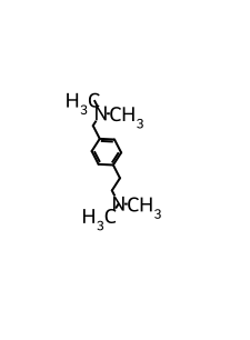 CN(C)CCc1ccc(CN(C)C)cc1